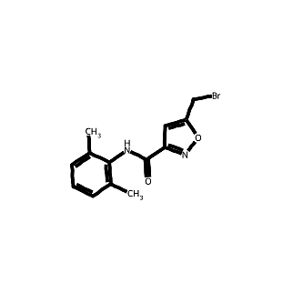 Cc1cccc(C)c1NC(=O)c1cc(CBr)on1